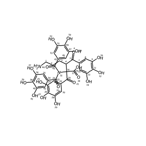 NCCCC(C(=O)c1cc(O)c(O)c(O)c1)C(C(=O)O)(C(=O)c1cc(O)c(O)c(O)c1)N(C(=O)c1cc(O)c(O)c(O)c1)C(=O)c1cc(O)c(O)c(O)c1